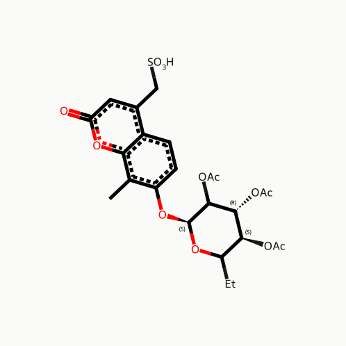 CCC1O[C@@H](Oc2ccc3c(CS(=O)(=O)O)cc(=O)oc3c2C)C(OC(C)=O)[C@H](OC(C)=O)[C@H]1OC(C)=O